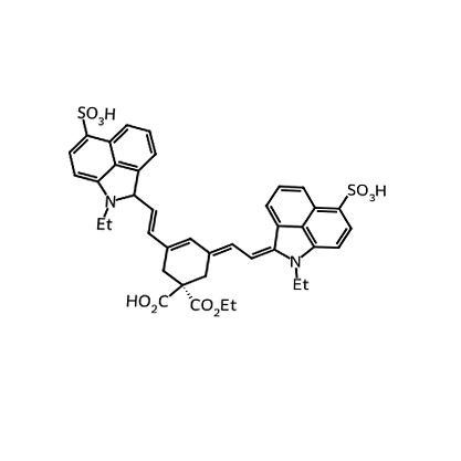 CCOC(=O)[C@]1(C(=O)O)CC(/C=C/C2c3cccc4c(S(=O)(=O)O)ccc(c34)N2CC)=CC(=C/C=c2\c3cccc4c(S(=O)(=O)O)ccc(c43)n2CC)/C1